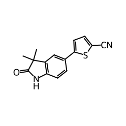 CC1(C)C(=O)Nc2ccc(-c3ccc(C#N)s3)cc21